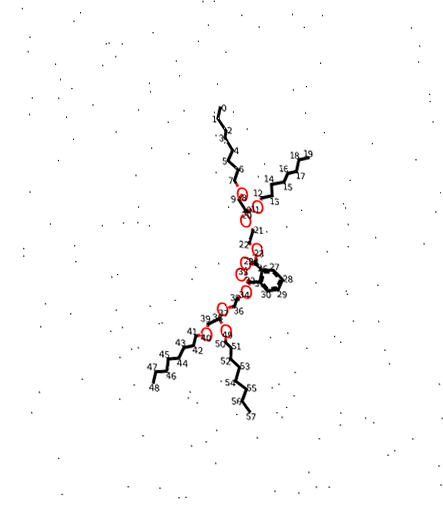 CCCCCCCCOCC(OCCCCCCCC)OCCOC(=O)c1ccccc1C(=O)OCCOC(COCCCCCCCC)OCCCCCCCC